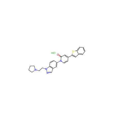 Cl.O=c1cc(-c2cc3ccccc3s2)ccn1-c1ccc2c(cnn2CCN2CCCC2)c1